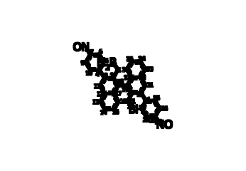 BCc1c(-c2ccc(N=O)cc2)cc2ccccc2c1-c1c(CB)c(-c2ccc(N=O)cc2)cc2ccccc12